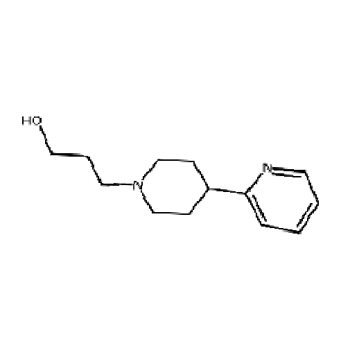 OCCCN1CCC(c2ccccn2)CC1